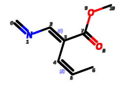 C=N/C=C(\C=C/C)C(=O)OC